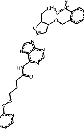 CCC1O[C@@H](n2cnc3c(NC(=O)CCCSSc4ccccn4)ncnc32)CC1OCc1ccccc1[N+](=O)[O-]